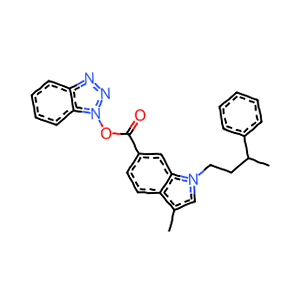 Cc1cn(CCC(C)c2ccccc2)c2cc(C(=O)On3nnc4ccccc43)ccc12